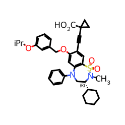 CC(C)Oc1cccc(COc2cc3c(cc2C#CC2(C(=O)O)CC2)S(=O)(=O)N(C)[C@H](C2CCCCC2)CN3c2ccccc2)c1